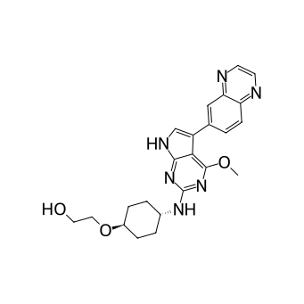 COc1nc(N[C@H]2CC[C@H](OCCO)CC2)nc2[nH]cc(-c3ccc4nccnc4c3)c12